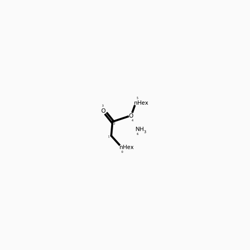 CCCCCCCC(=O)OCCCCCC.N